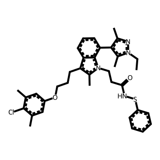 CCn1nc(C)c(-c2cccc3c(CCCOc4cc(C)c(Cl)c(C)c4)c(C)n(CCC(=O)NSc4ccccc4)c23)c1C